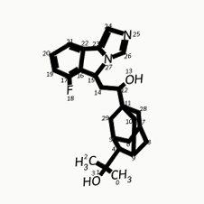 CC(C)(O)C1C2CC3CC1CC(C(O)CC1c4c(F)cccc4-c4cncn41)(C3)C2